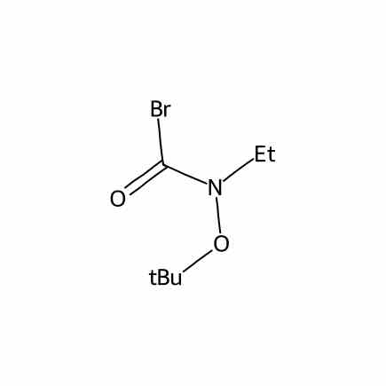 CCN(OC(C)(C)C)C(=O)Br